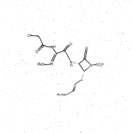 CON=C(NC(=O)CCl)C(=O)N[C@@H]1C(=O)N(S(=O)(=O)O)[C@@H]1SC=CNC(C)=O